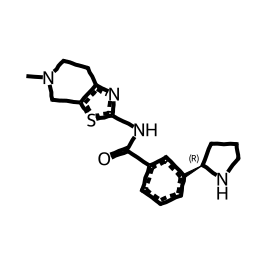 CN1CCc2nc(NC(=O)c3cccc([C@H]4CCCN4)c3)sc2C1